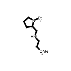 CCN1CCCC1CNCCOC